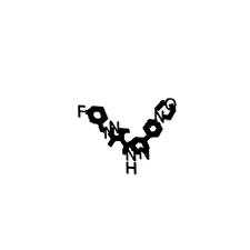 Cc1nn(Cc2cccc(F)c2)c(C)c1-c1c[nH]c2ncc(-c3ccc(N4CCOCC4)cc3)cc12